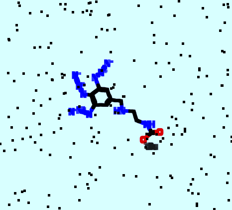 CC(C)(C)OC(=O)NCCNCc1cc(N=[N+]=[N-])c(N=[N+]=[N-])c(N=[N+]=[N-])c1